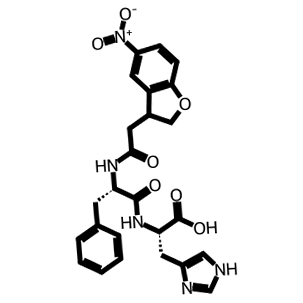 O=C(CC1COc2ccc([N+](=O)[O-])cc21)N[C@@H](Cc1ccccc1)C(=O)N[C@@H](Cc1c[nH]cn1)C(=O)O